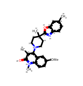 COc1ccc2c(c1)c(N1CCC(C)(c3nc4ccc(C)cc4o3)CC1)c(C#N)c(=O)n2C